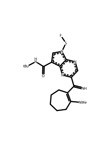 CNC1=C(C(=N)c2cnc3c(n2)c(C(=O)NC(C)(C)C)cn3SF)CCCCC1